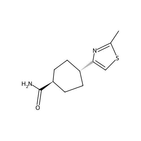 Cc1nc([C@H]2CC[C@H](C(N)=O)CC2)cs1